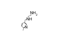 Cc1ccc(CNCCN)cn1